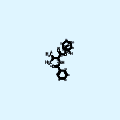 CC(C)C(NC(=O)c1ccccc1)C(=O)O[C@H]1CN2CCC1CC2